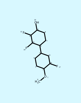 COC1CCC(C2CCC(O)C(F)C2F)CC1F